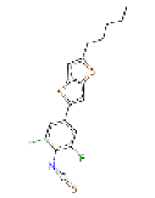 CCCCCc1cc2sc(-c3cc(F)c(N=C=S)c(F)c3)cc2s1